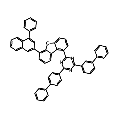 c1ccc(-c2ccc(-c3nc(-c4cccc(-c5ccccc5)c4)nc(-c4cccc5oc6c(-c7cc(-c8ccccc8)c8ccccc8c7)cccc6c45)n3)cc2)cc1